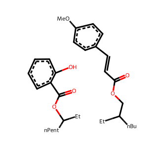 CCCCC(CC)COC(=O)/C=C/c1ccc(OC)cc1.CCCCCC(CC)OC(=O)c1ccccc1O